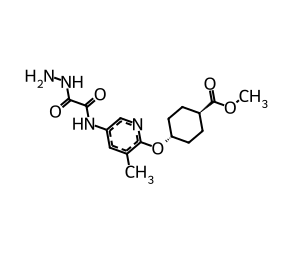 COC(=O)[C@H]1CC[C@H](Oc2ncc(NC(=O)C(=O)NN)cc2C)CC1